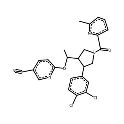 Cc1cccc(C(=O)N2CC(c3ccc(Cl)c(Cl)c3)C(C(C)Oc3ccc(C#N)cn3)C2)n1